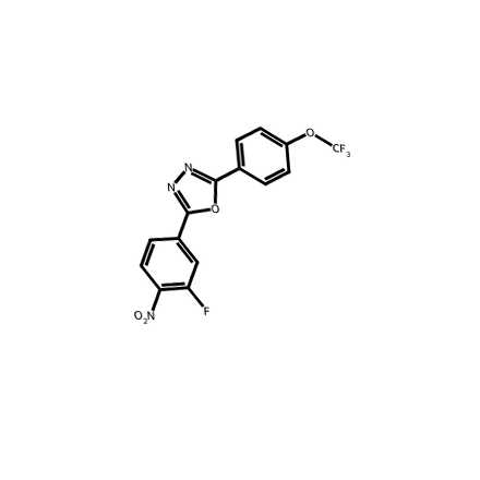 O=[N+]([O-])c1ccc(-c2nnc(-c3ccc(OC(F)(F)F)cc3)o2)cc1F